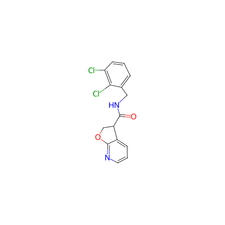 O=C(NCc1cccc(Cl)c1Cl)C1COc2ncccc21